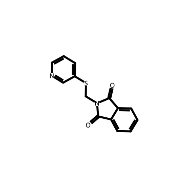 O=C1c2ccccc2C(=O)N1CSc1cccnc1